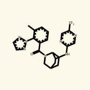 Cc1cccc(C(=O)N2CC3CCC2C(Nc2cnc(C(F)(F)F)cn2)C3)c1-n1nccn1